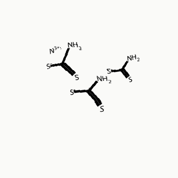 NC(=S)[S-].NC(=S)[S-].NC(=S)[S-].[N+3]